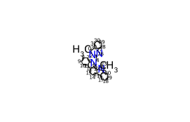 Cc1nc(Cn2c3ccccc3c3ccc4c5ccccc5n(C)c4c32)nc2ccccc12